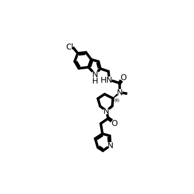 CN(C(=O)NCc1cc2cc(Cl)ccc2[nH]1)[C@@H]1CCCN(C(=O)Cc2cccnc2)C1